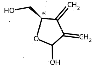 C=C1C(=C)[C@H](CO)OC1O